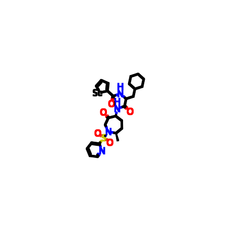 C[C@@H]1CC[C@H](NC(=O)C(CC2CCCCC2)NC(=O)c2ccc[se]2)C(=O)CN1S(=O)(=O)c1ccccn1